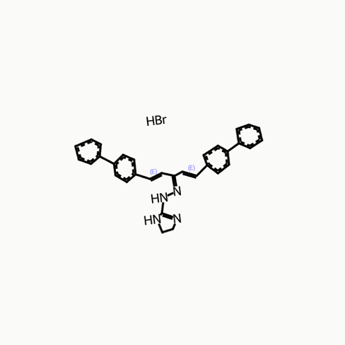 Br.C(=C\c1ccc(-c2ccccc2)cc1)/C(/C=C/c1ccc(-c2ccccc2)cc1)=NNC1=NCCN1